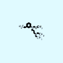 C=Cc1cccc([SiH](CCCN(CC)CC)COC)c1